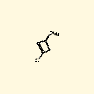 CCC1=CC(OC)C1